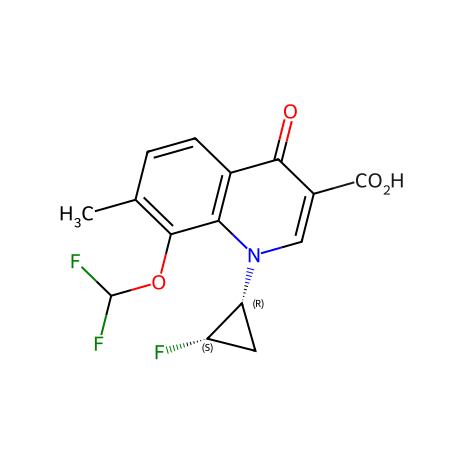 Cc1ccc2c(=O)c(C(=O)O)cn([C@@H]3C[C@@H]3F)c2c1OC(F)F